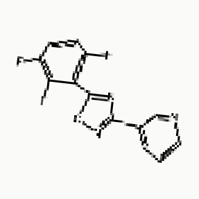 Fc1ccc(F)c(-c2nc(-c3cccnc3)no2)c1F